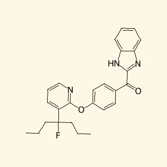 CCCC(F)(CCC)c1cccnc1Oc1ccc(C(=O)c2nc3ccccc3[nH]2)cc1